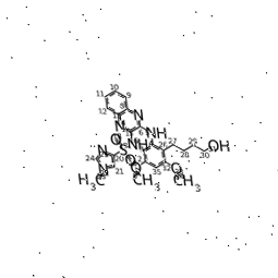 COc1cc(Nc2nc3ccccc3nc2NS(=O)(=O)c2cn(C)cn2)c(CCCCO)c(OC)c1